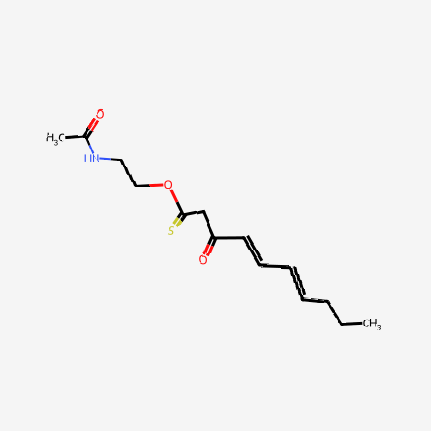 CCC/C=C/C=C/C(=O)CC(=S)OCCNC(C)=O